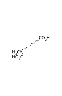 C[C@H](CCCCCCCCC(=O)O)CC(=O)O